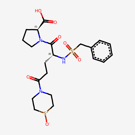 O=C(O)[C@@H]1CCCN1C(=O)[C@@H](CCC(=O)N1CC[S+]([O-])CC1)NS(=O)(=O)Cc1ccccc1